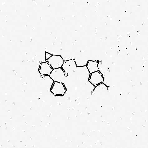 O=C(c1cncnc1-c1ccccc1)N(CCc1c[nH]c2cc(F)c(F)cc12)CC1CC1